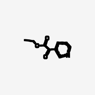 CCOC(=O)C(=O)c1cccnc1